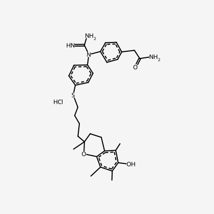 Cc1c(C)c2c(c(C)c1O)CCC(C)(CCCCSc1ccc(N(C(=N)N)c3ccc(CC(N)=O)cc3)cc1)O2.Cl